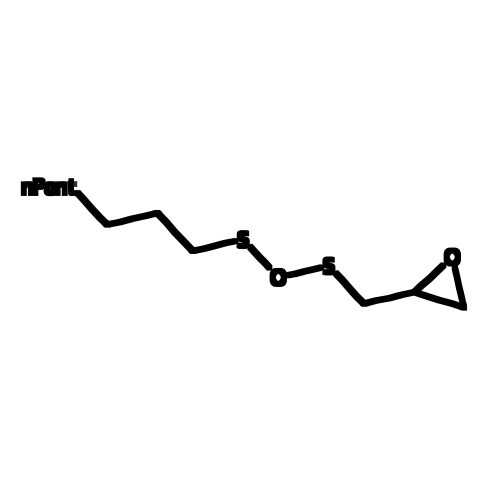 CCCCCCCCSOSCC1CO1